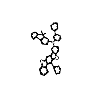 CC1(C)c2ccccc2-c2ccc(N(c3cccc(-c4ccccc4)c3)c3ccc4oc5c(-c6ccccc6)c6c(cc5c4c3)oc3ccccc36)cc21